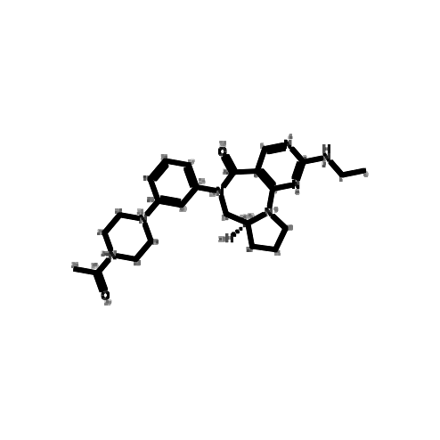 CCNc1ncc2c(n1)N1CCC[C@H]1CN(c1cccc(N3CCN(C(C)=O)CC3)c1)C2=O